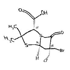 CC1(C)S[C@H]2N(C(=O)[C@@]2(Cl)Br)[C@H]1C(=O)O